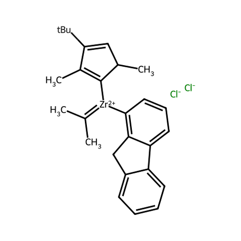 CC1=[C]([Zr+2](=[C](C)C)[c]2cccc3c2Cc2ccccc2-3)C(C)C=C1C(C)(C)C.[Cl-].[Cl-]